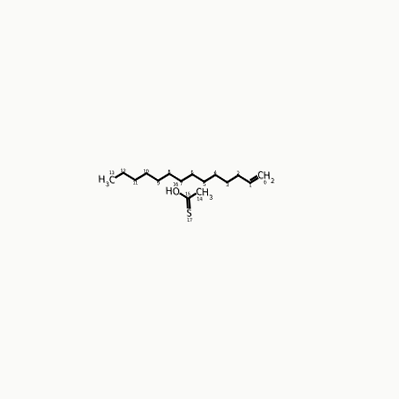 C=CCCCCCCCCCCCC.CC(O)=S